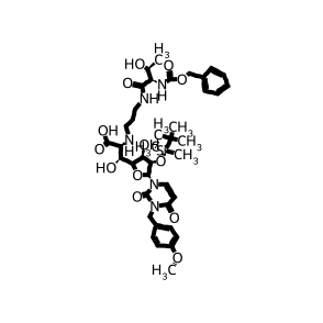 COc1ccc(Cn2c(=O)ccn([C@@H]3OC([C@H](O)[C@H](NCCCNC(=O)[C@@H](NC(=O)OCc4ccccc4)[C@H](C)O)C(=O)O)[C@@H](O)[C@H]3O[Si](C)(C)C(C)(C)C)c2=O)cc1